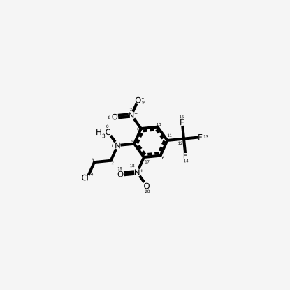 CN(CCCl)c1c([N+](=O)[O-])cc(C(F)(F)F)cc1[N+](=O)[O-]